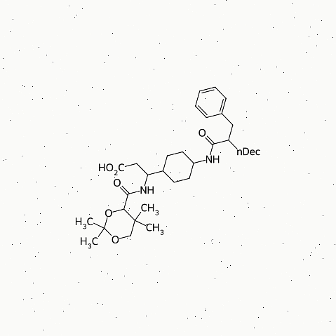 CCCCCCCCCCC(Cc1ccccc1)C(=O)NC1CCC(C(CC(=O)O)NC(=O)C2OC(C)(C)OCC2(C)C)CC1